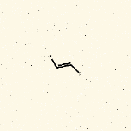 FC=CF